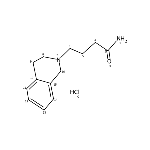 Cl.NC(=O)CCCN1CCc2ccccc2C1